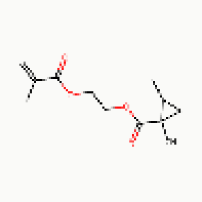 C=C(C)C(=O)OCCOC(=O)C1(C#N)CC1C